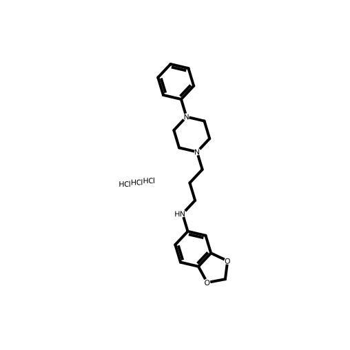 Cl.Cl.Cl.c1ccc(N2CCN(CCCNc3ccc4c(c3)OCO4)CC2)cc1